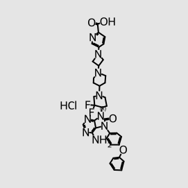 Cl.Nc1ncnc2c1n(-c1ccc(Oc3ccccc3)cc1)c(=O)n2[C@@H]1CCN(C2CCN(C3CN(c4ccc(C(=O)O)nc4)C3)CC2)CC1(F)F